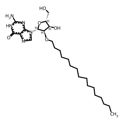 CCCCCCCCCCCCCCCCO[C@@H]1[C@H](O)[C@@H](CO)O[C@H]1n1cnc2c(=O)[nH]c(N)nc21